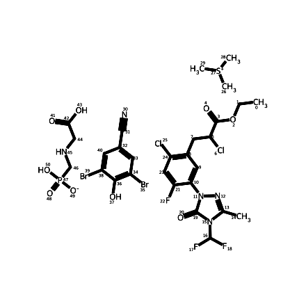 CCOC(=O)C(Cl)Cc1cc(-n2nc(C)n(C(F)F)c2=O)c(F)cc1Cl.C[S+](C)C.N#Cc1cc(Br)c(O)c(Br)c1.O=C(O)CNCP(=O)([O-])O